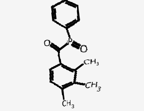 Cc1ccc(C(=O)[P](=O)c2ccccc2)c(C)c1C